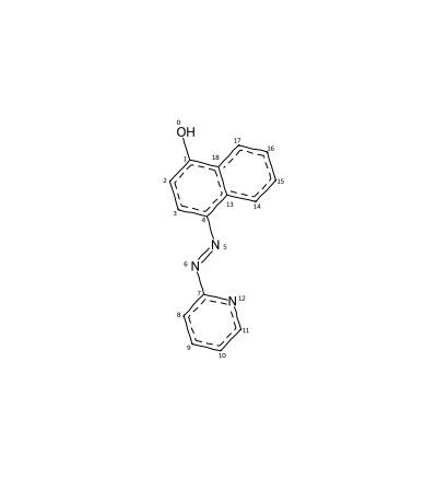 Oc1ccc(/N=N/c2ccccn2)c2ccccc12